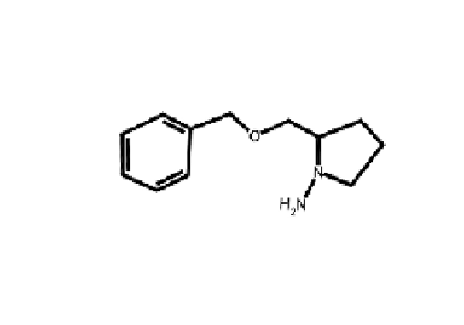 NN1CCCC1COCc1ccccc1